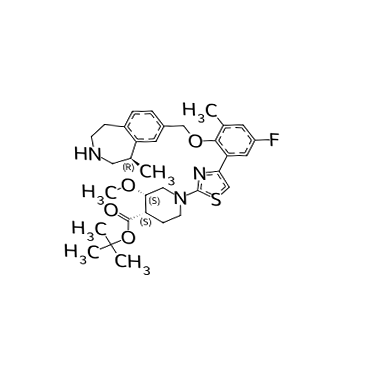 CO[C@@H]1CN(c2nc(-c3cc(F)cc(C)c3OCc3ccc4c(c3)[C@@H](C)CNCC4)cs2)CC[C@@H]1C(=O)OC(C)(C)C